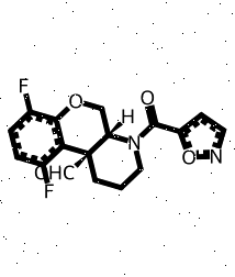 O=C[C@]12CCCN(C(=O)c3ccno3)[C@H]1COc1c(F)ccc(F)c12